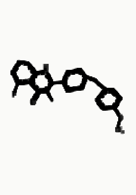 Cc1c(-c2ccc(Cc3ccc(OC(F)(F)F)cc3)cc2)[nH]c2cccc(F)c2c1=O